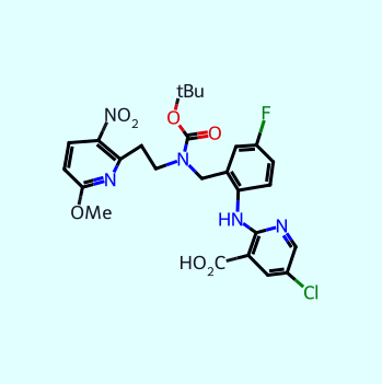 COc1ccc([N+](=O)[O-])c(CCN(Cc2cc(F)ccc2Nc2ncc(Cl)cc2C(=O)O)C(=O)OC(C)(C)C)n1